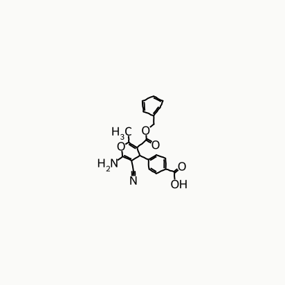 CC1=C(C(=O)OCc2ccccc2)C(c2ccc(C(=O)O)cc2)C(C#N)=C(N)O1